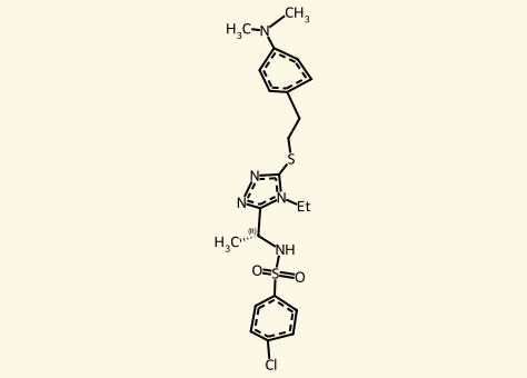 CCn1c(SCCc2ccc(N(C)C)cc2)nnc1[C@@H](C)NS(=O)(=O)c1ccc(Cl)cc1